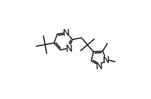 Cc1c(C(C)(C)Cc2ncc(C(C)(C)C)cn2)cnn1C